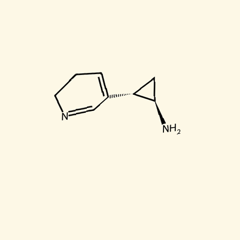 N[C@@H]1C[C@H]1C1=CCCN=C1